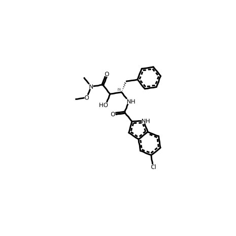 CON(C)C(=O)C(O)[C@H](Cc1ccccc1)NC(=O)c1cc2cc(Cl)ccc2[nH]1